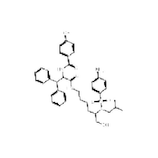 CC(C)CN(C(CO)CCCCNC(=O)C(NC(=O)c1ccc(O)cc1)C(c1ccccc1)c1ccccc1)S(=O)(=O)c1ccc(N)cc1